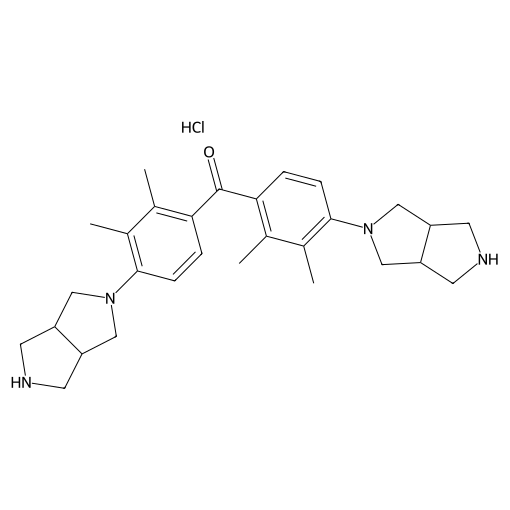 Cc1c(C(=O)c2ccc(N3CC4CNCC4C3)c(C)c2C)ccc(N2CC3CNCC3C2)c1C.Cl